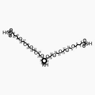 O=S(=O)(O)CCCCOCCOCCOCCOCCOc1ccccc1OCCOCCOCCOCCOCCCCS(=O)(=O)O.[KH]